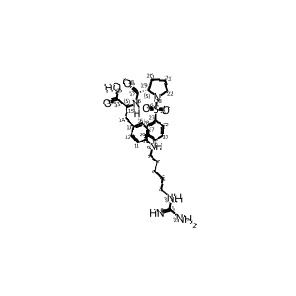 N=C(N)NCCCCCNc1ccc(C[C@H](NC(=O)[C@@H]2CCCN2S(=O)(=O)c2ccccc2)C(=O)O)cc1